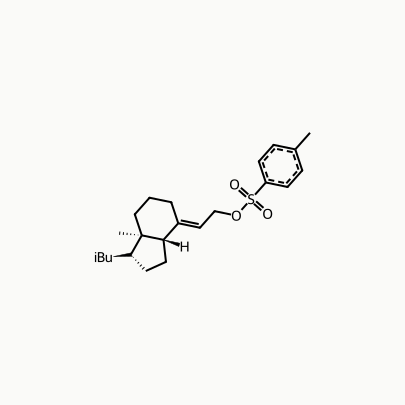 CC[C@H](C)[C@H]1CC[C@H]2/C(=C/COS(=O)(=O)c3ccc(C)cc3)CCC[C@]12C